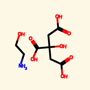 NCCO.O=C(O)CC(O)(CC(=O)O)C(=O)O